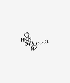 COCCCOc1ccnc(CS(=O)(=O)c2nc3ccccc3[nH]2)c1C